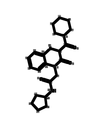 O=C(CN1C(=O)C(C(=O)N2CCCCC2)Sc2ccccc21)NC1CCCC1